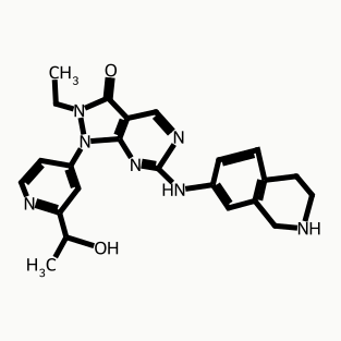 CCn1c(=O)c2cnc(Nc3ccc4c(c3)CNCC4)nc2n1-c1ccnc(C(C)O)c1